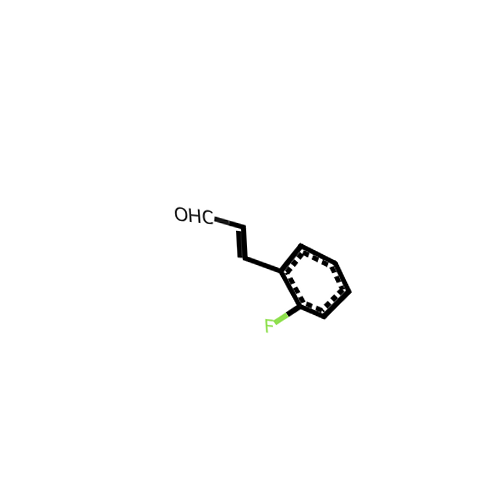 O=CC=Cc1ccccc1F